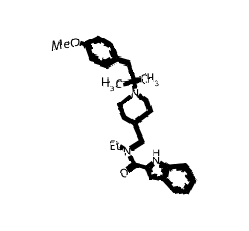 CCN(CC1CCN(C(C)(C)Cc2ccc(OC)cc2)CC1)C(=O)c1cc2ccccc2[nH]1